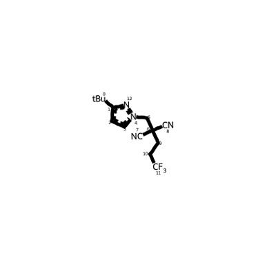 CC(C)(C)c1ccn(CC(C#N)(C#N)CCC(F)(F)F)n1